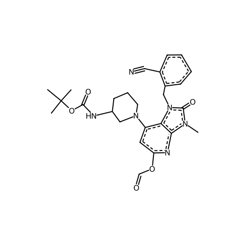 Cn1c(=O)n(Cc2ccccc2C#N)c2c(N3CCCC(NC(=O)OC(C)(C)C)C3)cc(OC=O)nc21